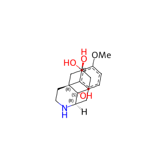 COc1ccc2c(c1O)[C@]13CCN[C@H](C2)[C@]1(O)CC[C@H](O)C3